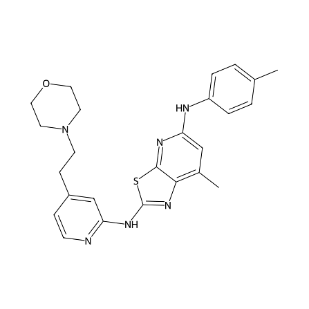 Cc1ccc(Nc2cc(C)c3nc(Nc4cc(CCN5CCOCC5)ccn4)sc3n2)cc1